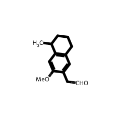 COc1cc2c(cc1CC=O)CCCC2C